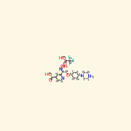 CN1CCN(c2ccc(OC/C(=N\O)c3cc(C(=O)O)ccn3)cc2)CC1.O=C(O)C(F)(F)F